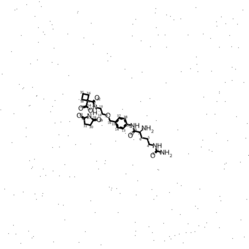 NC(=O)NCCC[C@H](N)C(=O)Nc1ccc(COCCNC(=O)C2(C(=O)ON3C(=O)CCC3=O)CCC2)cc1